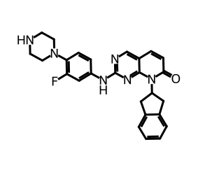 O=c1ccc2cnc(Nc3ccc(N4CCNCC4)c(F)c3)nc2n1C1Cc2ccccc2C1